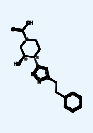 O=C(O)N1CC[C@H](c2cn(CCc3ccccc3)nn2)[C@@H](O)C1